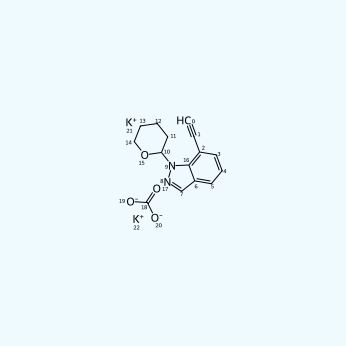 C#Cc1cccc2cnn(C3CCCCO3)c12.O=C([O-])[O-].[K+].[K+]